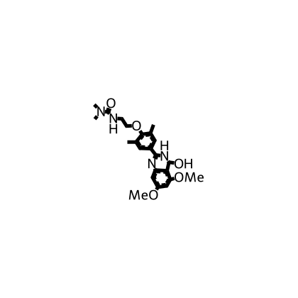 COc1cc2c(c(OC)c1)C(O)NC(c1cc(C)c(OCCNC(=O)N(C)C)c(C)c1)=N2